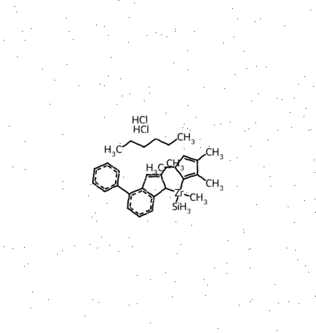 CC1=CC(C)[C]([Zr]([CH3])([SiH3])[CH]2C(C)=Cc3c(-c4ccccc4)cccc32)=C1C.CCCCCC.Cl.Cl